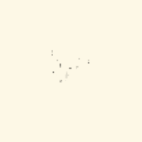 COc1ccc([C@H]2C[C@]3(C)C(=O)CC[C@H]3[C@@H]3C[C@@H]4O[C@]45CC4(CC[C@@H]5[C@H]32)OCCO4)cc1